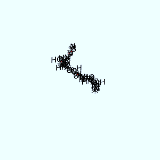 Cc1ncsc1-c1ccc(CNC(=O)[C@@H]2C[C@@H](O)CN2C(=O)C(NC(=O)CCOCCOCCC(=O)NCCn2ncc3cc(C(=O)Nc4ccc5[nH]c(CN6CCC[C@@H]6C)nc5c4)ccc32)C(C)(C)C)cc1